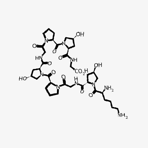 NCCCC[C@H](N)C(=O)N1C[C@H](O)C[C@H]1C(=O)NCC(=O)N1CCC[C@H]1C(=O)N1C[C@H](O)C[C@H]1C(=O)NCC(=O)N1CCC[C@H]1C(=O)N1C[C@H](O)C[C@H]1C(=O)NCC(=O)O